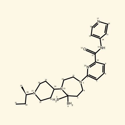 BC1(B)CCN(c2cccc(C(=O)Nc3ccncc3)n2)CCN1C1CCN([C@H](C)CC)CC1